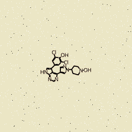 Oc1c(Cl)cc(-c2c[nH]c3ncnc(-c4cnn(C5CCN(O)CC5)c4)c23)cc1Cl